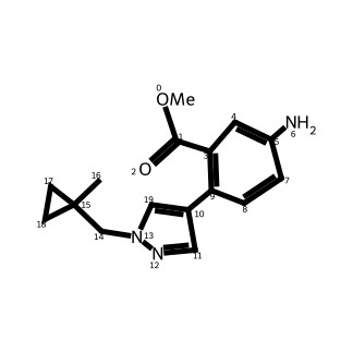 COC(=O)c1cc(N)ccc1-c1cnn(CC2(C)CC2)c1